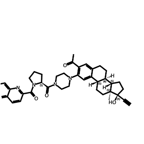 C#C[C@@]1(O)CC[C@H]2[C@@H]3CCc4cc(C(C)=O)c(N5CCN(C(=O)[C@@H]6CCCN6C(=O)c6ccc7ccccc7n6)CC5)cc4[C@H]3CC[C@@]21C